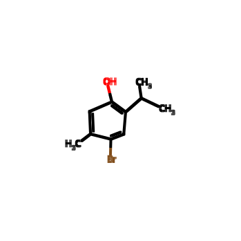 Cc1cc(O)c(C(C)C)cc1Br